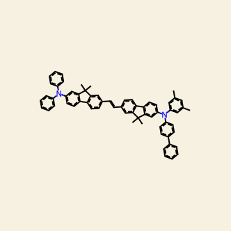 Cc1cc(C)cc(N(c2ccc(-c3ccccc3)cc2)c2ccc3c(c2)C(C)(C)c2cc(/C=C/c4ccc5c(c4)C(C)(C)c4cc(N(c6ccccc6)c6ccccc6)ccc4-5)ccc2-3)c1